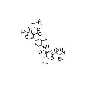 CCC(=O)N[C@@H](C(=O)N1CCN(C)C(C)(C)C1)[C@@H](C)c1ccc(NC(=O)[C@@H](NC(=O)c2nonc2CC)[C@H]2CC[C@H](C)CC2)c(F)c1